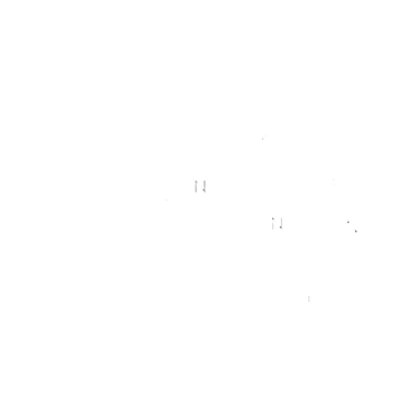 Clc1noc(Sc2ccc3ccccc3n2)n1